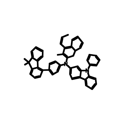 C/C=C\C1=C2C=CC=CC2CC(N(c2ccc(-c3cccc4c3-c3ccccc3C4(C)C)cc2)c2ccc3c4ccccc4n(-c4ccccc4)c3c2)=C1C